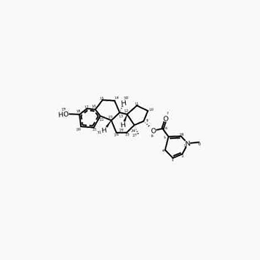 CN1C=CCC(C(=O)O[C@H]2CC[C@H]3[C@@H]4CCc5cc(O)ccc5[C@H]4CC[C@]23C)=C1